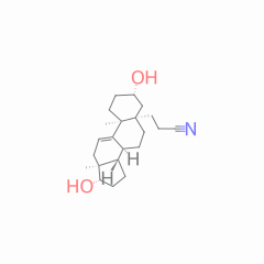 C[C@]12CC=C3[C@@H](CC[C@]4(CCC#N)C[C@@H](O)CC[C@]34C)[C@@H]1CC[C@@H]2O